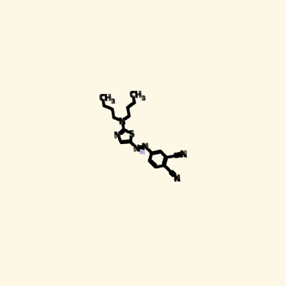 CCCCN(CCCC)c1ncc(/N=N/c2ccc(C#N)c(C#N)c2)s1